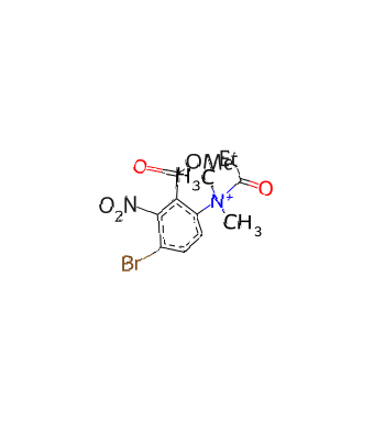 CCC(=O)[N+](C)(C)c1ccc(Br)c([N+](=O)[O-])c1C(=O)OC